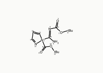 CC(C)(C)OC(=O)N=C(N)[N+]1(C(=O)OC(C)(C)C)C=CC=N1